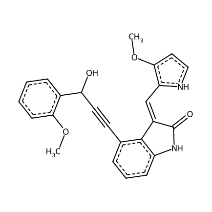 COc1ccccc1C(O)C#Cc1cccc2c1/C(=C/c1[nH]ccc1OC)C(=O)N2